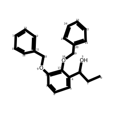 CCC(O)c1cccc(OCc2ccccc2)c1OCc1ccccc1